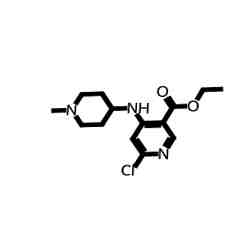 CCOC(=O)c1cnc(Cl)cc1NC1CCN(C)CC1